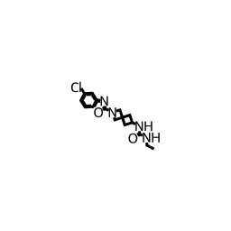 CCNC(=O)NC1CC2(C1)CN(c1nc3cc(Cl)ccc3o1)C2